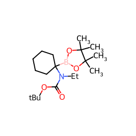 CCN(C(=O)OC(C)(C)C)C1(B2OC(C)(C)C(C)(C)O2)CCCCC1